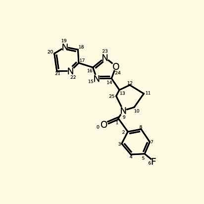 O=C(c1ccc(F)cc1)N1CCCC(c2nc(-c3cnccn3)no2)C1